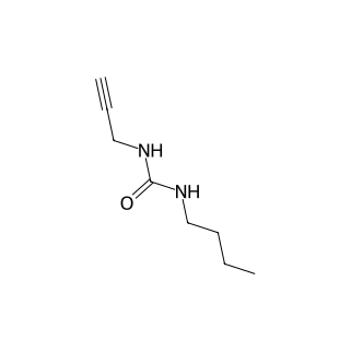 C#CCNC(=O)NCCCC